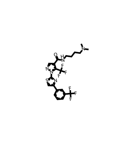 CN(C)CCCCNC(=O)c1cnn(-c2nc(-c3cccc(C(F)(F)F)c3)cs2)c1C(F)(F)F